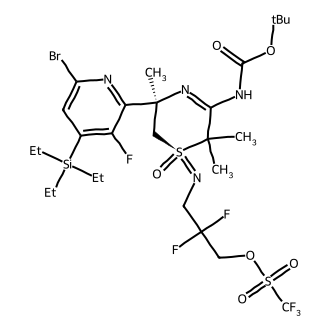 CC[Si](CC)(CC)c1cc(Br)nc([C@]2(C)C[S@](=O)(=NCC(F)(F)COS(=O)(=O)C(F)(F)F)C(C)(C)C(NC(=O)OC(C)(C)C)=N2)c1F